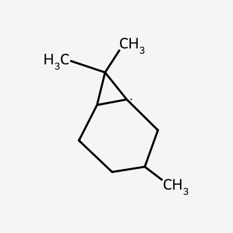 CC1CCC2[C](C1)C2(C)C